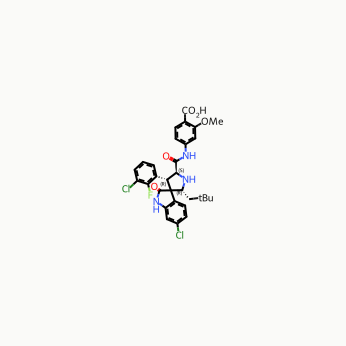 COc1cc(NC(=O)[C@H]2N[C@H](CC(C)(C)C)C3(C(=O)Nc4cc(Cl)ccc43)[C@@H]2c2cccc(Cl)c2F)ccc1C(=O)O